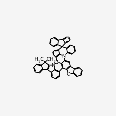 CC1(C)c2ccccc2-c2c1n1c3c(cccc23)-c2c3c(cc4c2oc2ccccc24)N2c4ccccc4C4(c5ccccc5-c5ccccc54)c4cccc(c42)B31